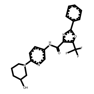 O=C(Nc1ccc(N2CCCC(O)C2)nc1)c1nc(-c2ccccc2)oc1C(F)(F)F